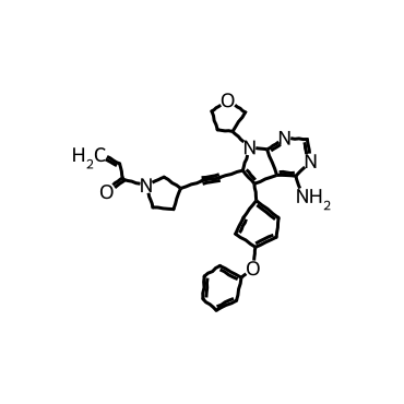 C=CC(=O)N1CCC(C#Cc2c(-c3ccc(Oc4ccccc4)cc3)c3c(N)ncnc3n2C2CCOC2)C1